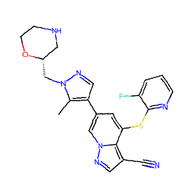 Cc1c(-c2cc(Sc3ncccc3F)c3c(C#N)cnn3c2)cnn1C[C@H]1CNCCO1